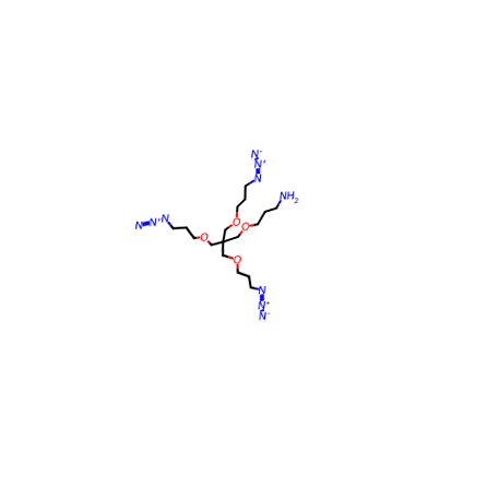 [N-]=[N+]=NCCCOCC(COCCCN)(COCCCN=[N+]=[N-])COCCCN=[N+]=[N-]